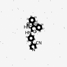 N#Cc1cnccc1-c1ccc(NC(=O)[C@@H](NC(=O)O)C(c2ccccc2)c2ccccc2)cc1